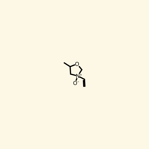 C=C[N+]1([O-])COC(C)C1